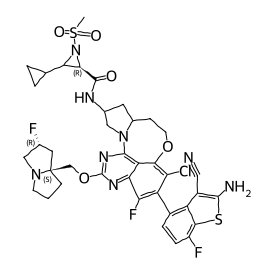 CS(=O)(=O)N1C(C2CC2)[C@@H]1C(=O)NC1CC2CCOc3c(Cl)c(-c4ccc(F)c5sc(N)c(C#N)c45)c(F)c4nc(OC[C@@]56CCCN5C[C@H](F)C6)nc(c34)N2C1